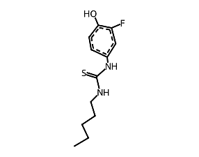 CCCCCNC(=S)Nc1ccc(O)c(F)c1